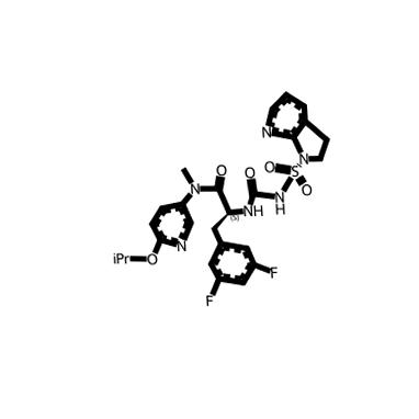 CC(C)Oc1ccc(N(C)C(=O)[C@H](Cc2cc(F)cc(F)c2)NC(=O)NS(=O)(=O)N2CCc3cccnc32)cn1